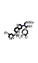 CN/C=C(\C(=N)N1CCC(=O)N(C)CC1)c1cnc2ccc(Nc3cc(C(C)C)cnn3)nc2c1